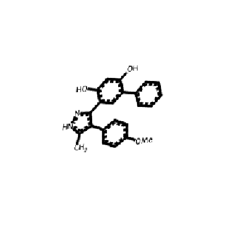 COc1ccc(-c2c(-c3cc(-c4ccccc4)c(O)cc3O)n[nH]c2C)cc1